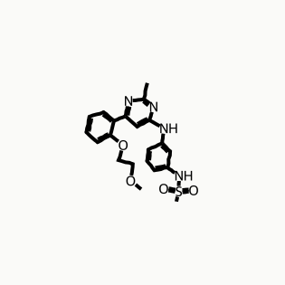 COCCOc1ccccc1-c1cc(Nc2cccc(NS(C)(=O)=O)c2)nc(C)n1